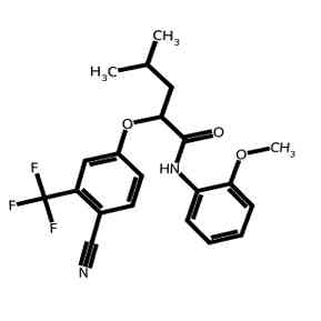 COc1ccccc1NC(=O)C(CC(C)C)Oc1ccc(C#N)c(C(F)(F)F)c1